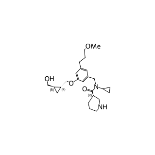 COCCCc1cc(CN(C(=O)[C@@H]2CCCNC2)C2CC2)cc(OC[C@@H]2C[C@H]2CO)c1